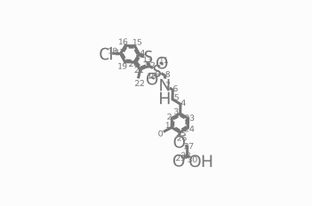 Cc1cc(CCCNCS(=O)(=O)c2sc3ccc(Cl)cc3c2C)ccc1OCC(=O)O